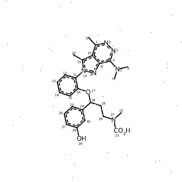 Cc1nnc(N(C)C)c2nn(-c3ccccc3OC(CCN(C)C(=O)O)c3cccc(O)c3)c(C)c12